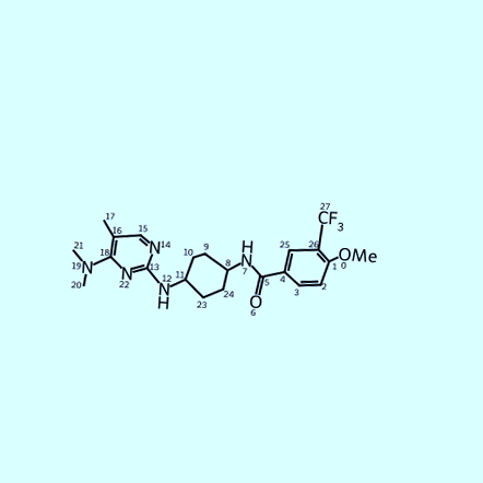 COc1ccc(C(=O)NC2CCC(Nc3ncc(C)c(N(C)C)n3)CC2)cc1C(F)(F)F